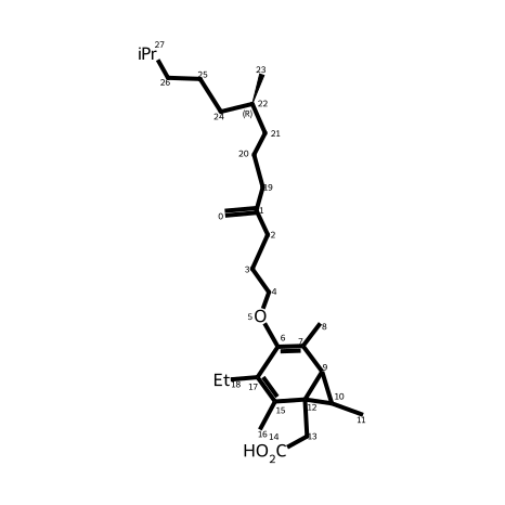 C=C(CCCOC1=C(C)C2C(C)C2(CC(=O)O)C(C)=C1CC)CCC[C@H](C)CCCC(C)C